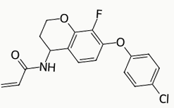 C=CC(=O)NC1CCOc2c1ccc(Oc1ccc(Cl)cc1)c2F